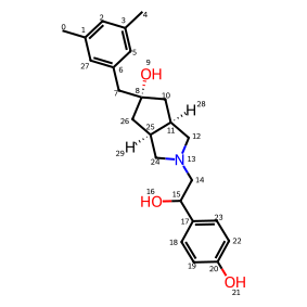 Cc1cc(C)cc(C[C@@]2(O)C[C@H]3CN(CC(O)c4ccc(O)cc4)C[C@H]3C2)c1